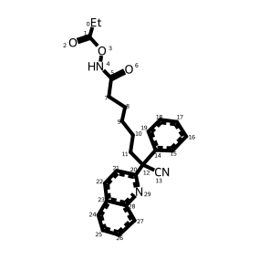 CCC(=O)ONC(=O)CCCCCC(C#N)(c1ccccc1)c1ccc2ccccc2n1